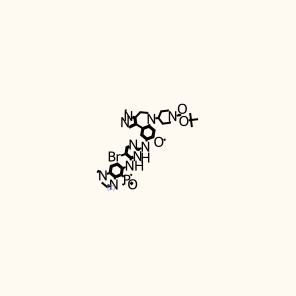 C=Nc1ccc(Nc2nc(Nc3cc4c(cc3OC)N(C3CCN(C(=O)OC(C)(C)C)CC3)CCc3c-4cnn3C)ncc2Br)c(P(C)(C)=O)c1/N=C\C